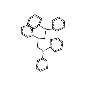 c1ccc(C(CP(c2ccccc2)c2ccccc2)CP(c2ccccc2)c2ccccc2)cc1